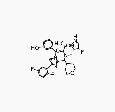 C[C@H](O)C(=O)N(C[C@@H]1CNC[C@@H]1F)C(c1nc(-c2cc(F)ccc2F)cn1Cc1cccc(O)c1)C1CCOCC1